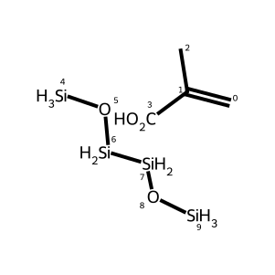 C=C(C)C(=O)O.[SiH3]O[SiH2][SiH2]O[SiH3]